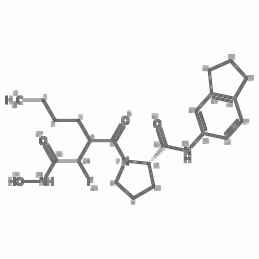 CCCCC(C(=O)N1CCC[C@H]1C(=O)Nc1ccc2c(c1)CCC2)C(F)C(=O)NO